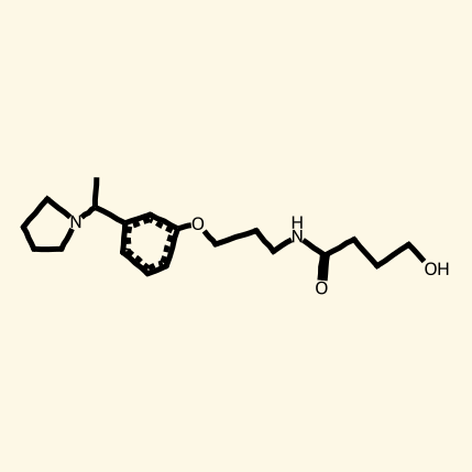 CC(c1cccc(OCCCNC(=O)CCCO)c1)N1CCCC1